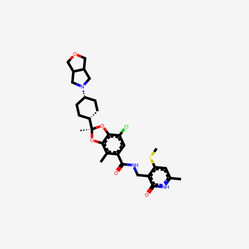 CSc1cc(C)[nH]c(=O)c1CNC(=O)c1cc(Cl)c2c(c1C)O[C@@](C)([C@H]1CC[C@@H](N3CC4COCC4C3)CC1)O2